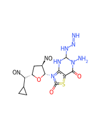 N=NNC1Nc2c(sc(=O)n2[C@@H]2O[C@H](C(N=O)C3CC3)C[C@H]2N=O)C(=O)N1N